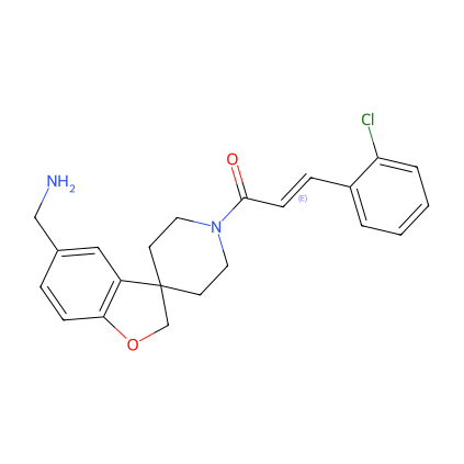 NCc1ccc2c(c1)C1(CCN(C(=O)/C=C/c3ccccc3Cl)CC1)CO2